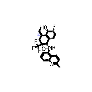 C/C=C1/C[C@](O)(C(F)(F)F)[C@@H](Nc2cccc3nc(C)ccc23)c2ccc(F)c(O)c21